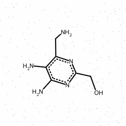 NCc1nc(CO)nc(N)c1N